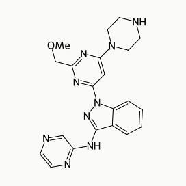 COCc1nc(N2CCNCC2)cc(-n2nc(Nc3cnccn3)c3ccccc32)n1